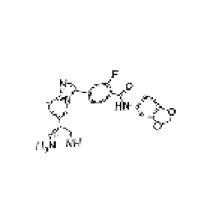 N=C/C(=C\N)c1ccc2ncc(-c3ccc(C(=O)Nc4ccc5c(c4)OCO5)c(F)c3)n2c1